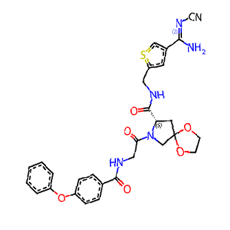 N#C/N=C(\N)c1csc(CNC(=O)[C@@H]2CC3(CN2C(=O)CNC(=O)c2ccc(Oc4ccccc4)cc2)OCCO3)c1